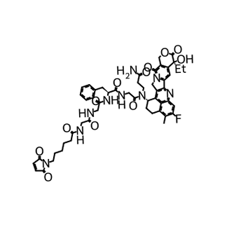 CC[C@@]1(O)C(=O)OCc2c1cc1n(c2=O)Cc2c-1nc1cc(F)c(C)c3c1c2[C@@H](N(CCC(N)=O)C(=O)CNC(=O)[C@H](Cc1ccccc1)NC(=O)CNC(=O)CNC(=O)CCCCCN1C(=O)C=CC1=O)CC3